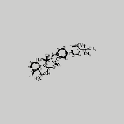 C[C@H](NC1=NS(=O)(=O)C(Cc2ccc(N3CCN(C(C)(C)C)CC3)cc2)C(C)(C)O1)c1ccccc1F